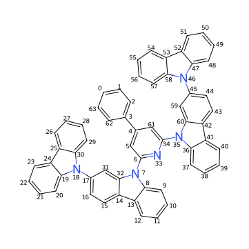 c1ccc(-c2cc(-n3c4ccccc4c4ccc(-n5c6ccccc6c6ccccc65)cc43)nc(-n3c4ccccc4c4ccc(-n5c6ccccc6c6ccccc65)cc43)c2)cc1